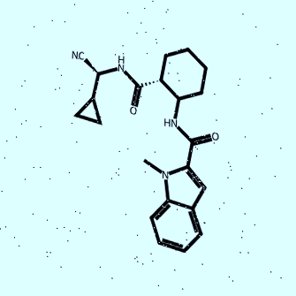 Cn1c(C(=O)NC2CCCC[C@H]2C(=O)N[C@H](C#N)C2CC2)cc2ccccc21